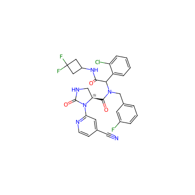 N#Cc1ccnc(N2C(=O)NC[C@H]2C(=O)N(Cc2cccc(F)c2)C(C(=O)NC2CC(F)(F)C2)c2ccccc2Cl)c1